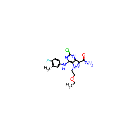 CCOCCn1nc(C(N)=O)c2nc(Cl)nc(Nc3ccc(F)c(C)c3)c21